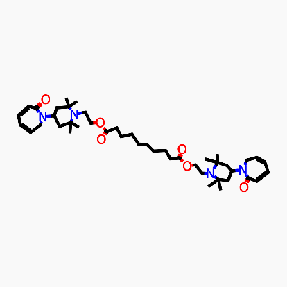 CC1(C)CC(N2CC=CC=CC2=O)CC(C)(C)N1CCOC(=O)CCCCCCCCC(=O)OCCN1C(C)(C)CC(N2CC=CC=CC2=O)CC1(C)C